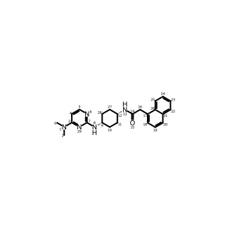 CN(C)c1ccnc(N[C@H]2CC[C@@H](NC(=O)Cc3cccc4ccccc34)CC2)n1